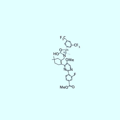 COC(=O)c1ccc(-c2ncc(OC)c(C3=C(CN4C(O)O[C@H](c5cc(C(F)(F)F)cc(C(F)(F)F)c5)[C@@H]4C)CC(C)(C)CC3)n2)c(F)c1